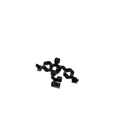 CSc1ccc(C(=O)N(F)Cc2ccc(Br)cc2)c(OCC(=O)O)c1